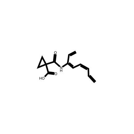 C=C/C=C\C=C(/C=C)NC(=O)C1(C(=O)O)CC1